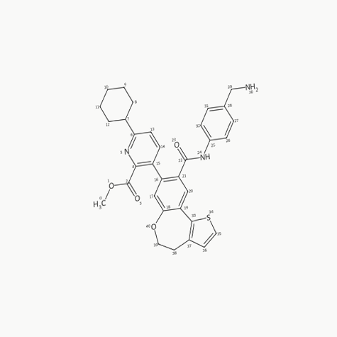 COC(=O)c1nc(C2CCCCC2)ccc1-c1cc2c(cc1C(=O)Nc1ccc(CN)cc1)-c1sccc1CCO2